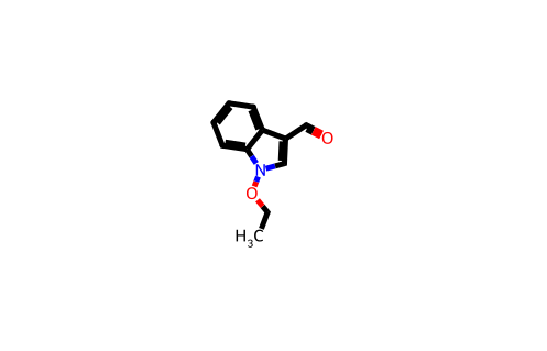 CCOn1cc(C=O)c2ccccc21